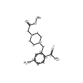 CC(C)(C)OC(=O)CN1CCN(Cc2cc(N)ccc2C(N)=O)CC1